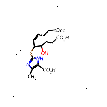 CCCCCCCCCCCC/C=C\C(Sc1nc(C)c(C(=O)O)[nH]1)C(O)CCC(=O)O